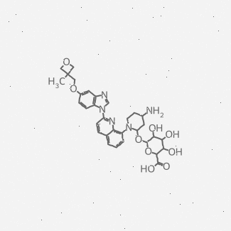 CC1(COc2ccc3c(c2)ncn3-c2ccc3cccc(N4CCC(N)CC4OC4OC(C(=O)O)C(O)C(O)C4O)c3n2)COC1